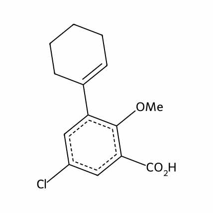 COc1c(C(=O)O)cc(Cl)cc1C1=CCCCC1